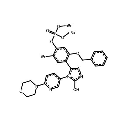 CCCCOP(=O)(OCCCC)Oc1cc(OCc2ccccc2)c(-c2nnc(O)n2-c2ccc(N3CCOCC3)nc2)cc1C(C)C